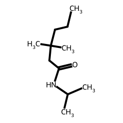 CCCC(C)(C)CC(=O)NC(C)C